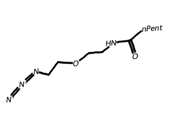 CCCCCC(=O)NCCOCCN=[N+]=[N-]